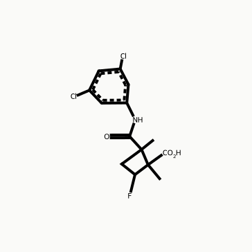 CC1(C(=O)Nc2cc(Cl)cc(Cl)c2)CC(F)C1(C)C(=O)O